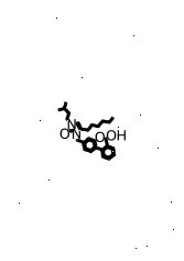 CCCCCCc1cn(CCC(C)C)c(=O)n1Cc1ccc(-c2ccccc2C(=O)O)cc1